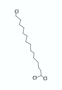 ClCCCCCCCCCCCCCCC(Cl)Cl